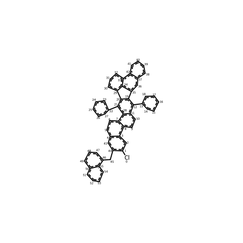 Clc1cc2c(ccc3c2ccc2c(-c4ccccc4)c4c(c(-c5ccccc5)c23)-c2cccc3c2c-4cc2ccccc23)cc1Cc1cccc2ccccc12